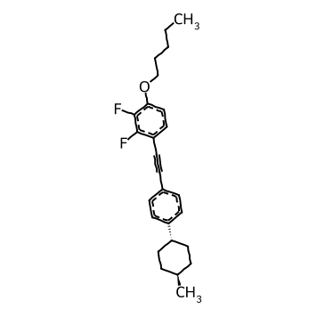 CCCCCOc1ccc(C#Cc2ccc([C@H]3CC[C@H](C)CC3)cc2)c(F)c1F